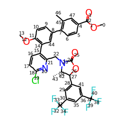 COC(=O)c1ccc(-c2ccc(OC)c(-c3ccc(Cl)nc3CN3C(=O)OC(c4cc(C(F)(F)F)cc(C(F)(F)F)c4)[C@@H]3C)c2)c(C)c1